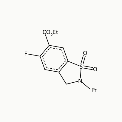 CCOC(=O)c1cc2c(cc1F)CN(C(C)C)S2(=O)=O